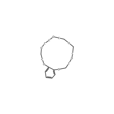 [C]1COCCOCCOCCOCCOc2ccccc2O1